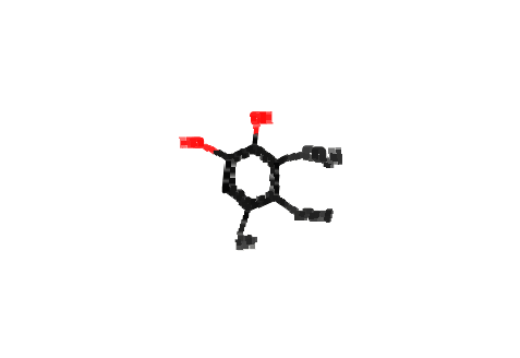 CCCCCc1c(CCC)cc(O)c(O)c1C(=O)O